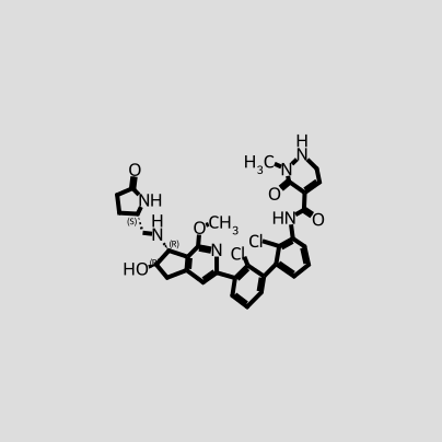 COc1nc(-c2cccc(-c3cccc(NC(=O)C4=CCNN(C)C4=O)c3Cl)c2Cl)cc2c1[C@@H](NC[C@@H]1CCC(=O)N1)[C@H](O)C2